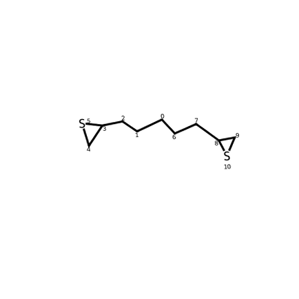 C(CCC1CS1)CCC1CS1